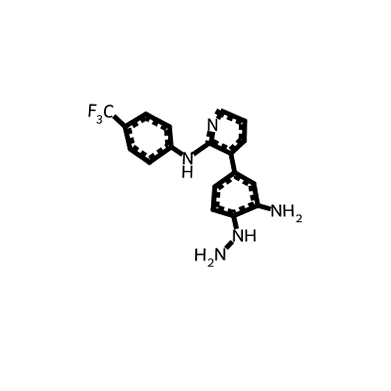 NNc1ccc(-c2cccnc2Nc2ccc(C(F)(F)F)cc2)cc1N